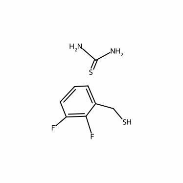 Fc1cccc(CS)c1F.NC(N)=S